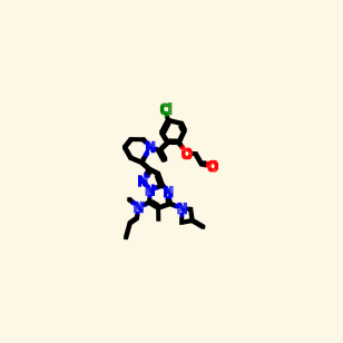 C=C(c1cc(Cl)ccc1OCC=O)N1CCCCC1c1cc2nc(N3CC(C)C3)c(C)c(N(C)CCC)n2n1